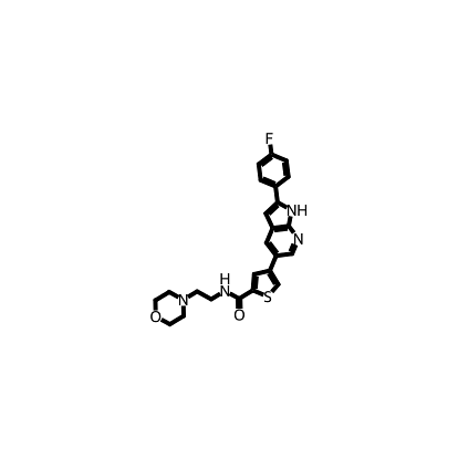 O=C(NCCN1CCOCC1)c1cc(-c2cnc3[nH]c(-c4ccc(F)cc4)cc3c2)cs1